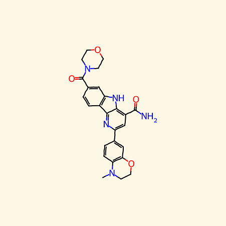 CN1CCOc2cc(-c3cc(C(N)=O)c4[nH]c5cc(C(=O)N6CCOCC6)ccc5c4n3)ccc21